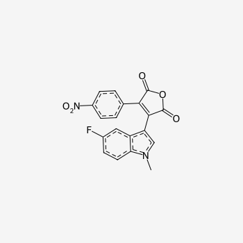 Cn1cc(C2=C(c3ccc([N+](=O)[O-])cc3)C(=O)OC2=O)c2cc(F)ccc21